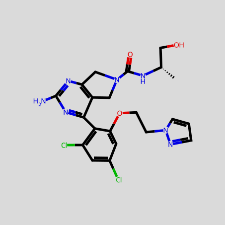 C[C@@H](CO)NC(=O)N1Cc2nc(N)nc(-c3c(Cl)cc(Cl)cc3OCCn3cccn3)c2C1